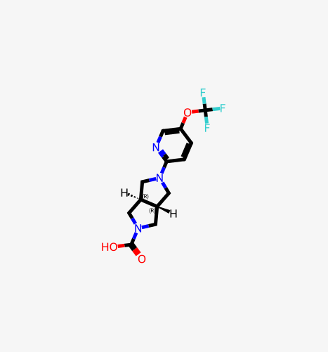 O=C(O)N1C[C@H]2CN(c3ccc(OC(F)(F)F)cn3)C[C@@H]2C1